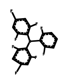 Fc1cc(F)c(B(c2c(F)cccc2F)c2c(F)cc(F)cc2F)c(F)c1